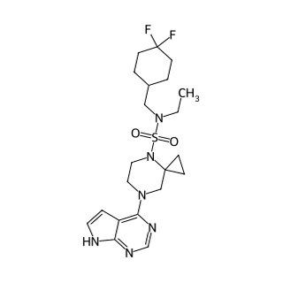 CCN(CC1CCC(F)(F)CC1)S(=O)(=O)N1CCN(c2ncnc3[nH]ccc23)CC12CC2